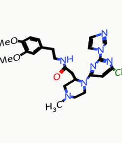 COc1ccc(CCNC(=O)CC2CN(C)CCN2c2cc(Cl)nc(-n3ccnc3)n2)cc1OC